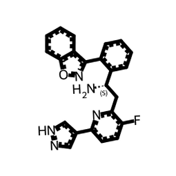 N[C@@H](Cc1nc(-c2cn[nH]c2)ccc1F)c1ccccc1-c1noc2ccccc12